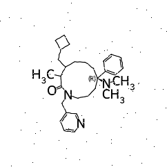 CC1C(=O)N(Cc2cccnc2)CCC[C@](c2ccccc2)(N(C)C)CCCC1CC1CCC1